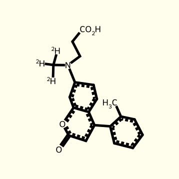 [2H]C([2H])([2H])N(CCC(=O)O)c1ccc2c(-c3ccccc3C)cc(=O)oc2c1